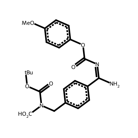 COc1ccc(OC(=O)/N=C(/N)c2ccc(CN(C(=O)O)C(=O)OC(C)(C)C)cc2)cc1